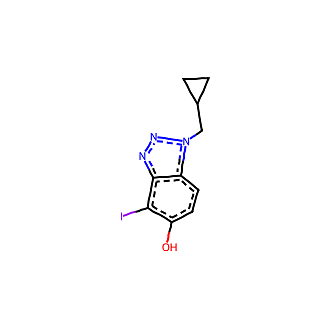 Oc1ccc2c(nnn2CC2CC2)c1I